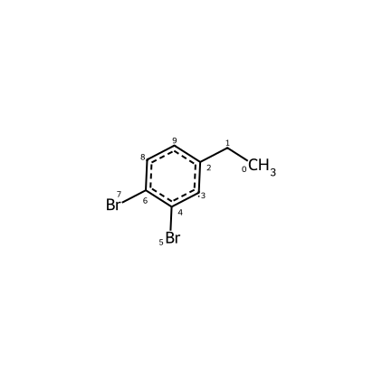 CCc1[c]c(Br)c(Br)cc1